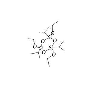 CCO[Si]1(C(C)C)O[Si](OCC)(C(C)C)O[Si](OCC)(C(C)C)O1